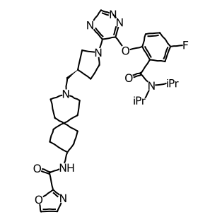 CC(C)N(C(=O)c1cc(F)ccc1Oc1nncnc1N1CC[C@@H](CN2CCC3(CCC(NC(=O)c4ncco4)CC3)CC2)C1)C(C)C